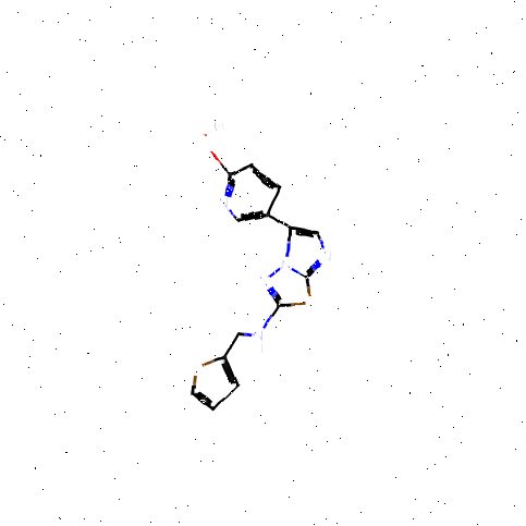 COc1ccc(-c2cnc3sc(NCc4cccs4)nn23)cn1